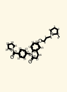 C[C@@H]1CCCN1CCCOc1ccc2c(c1)CCC(=O)N2c1ccc(C(=O)N2CCCC2)cc1